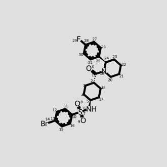 O=C([C@H]1CC[C@H](NS(=O)(=O)c2ccc(Br)cc2)CC1)N1CCCC[C@@H]1c1ccc(F)cc1